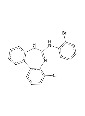 Clc1cccc2c1N=C(Nc1ccccc1Br)Nc1ccccc1-2